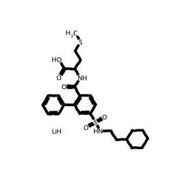 CSCCC(NC(=O)c1ccc(S(=O)(=O)NCCC2CCCCC2)cc1-c1ccccc1)C(=O)O.[LiH]